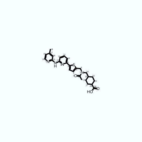 CC(=O)N(Cc1ccc(-c2cccc(Nc3cc(C)ccn3)n2)s1)CC1CCC(C(=O)O)CC1